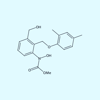 COC(=O)N(O)c1cccc(CO)c1COc1ccc(C)cc1C